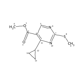 COC(=O)c1cnc(SC)nc1C1CC1